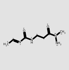 CC=NC(=O)NCCC(=O)N(C)N